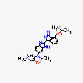 CC(C)OCc1cccc2c(-c3nc4ccc(N5CC(CN(C)C)OCC5C)cc4[nH]3)n[nH]c12